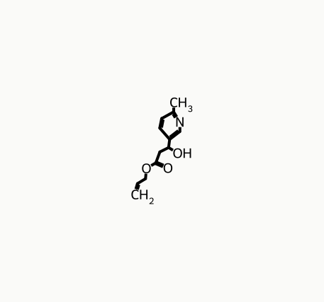 C=CCOC(=O)CC(O)c1ccc(C)nc1